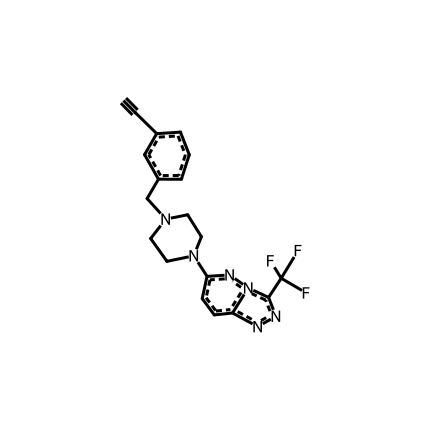 C#Cc1cccc(CN2CCN(c3ccc4nnc(C(F)(F)F)n4n3)CC2)c1